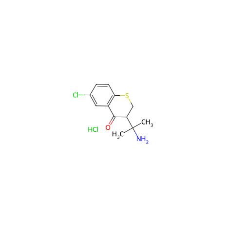 CC(C)(N)C1CSc2ccc(Cl)cc2C1=O.Cl